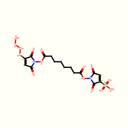 O=C(CCCCCCC(=O)ON1C(=O)C=C(S(=O)(=O)O)C1=O)ON1C(=O)C=C(SOOO)C1=O